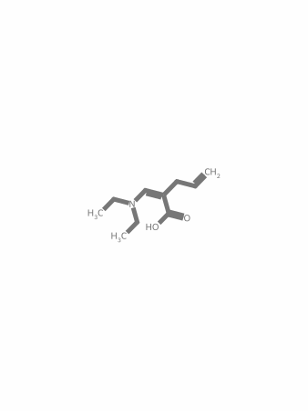 C=CCC(=CN(CC)CC)C(=O)O